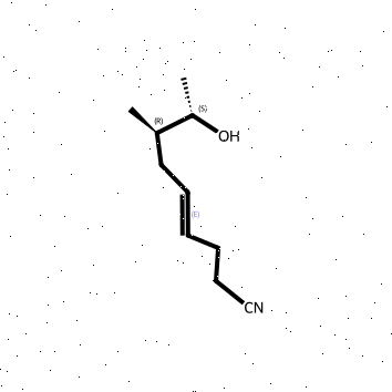 C[C@H](O)[C@H](C)C/C=C/CCC#N